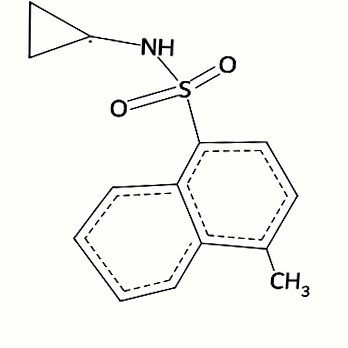 Cc1ccc(S(=O)(=O)N[C]2CC2)c2ccccc12